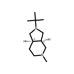 CN1CC[C@H]2CN(C(C)(C)C)C[C@H]2C1